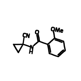 COc1ccccc1C(=O)NC1(C#N)CC1